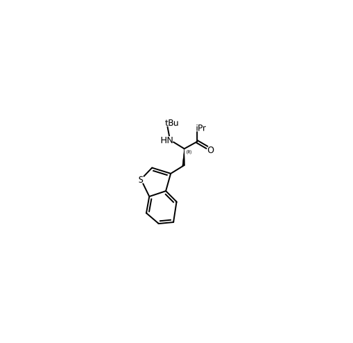 CC(C)C(=O)[C@@H](Cc1csc2ccccc12)NC(C)(C)C